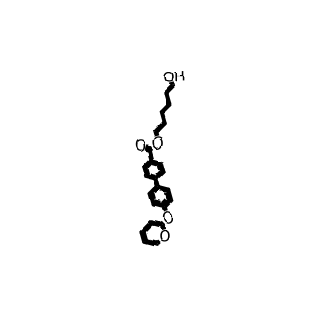 O=C(OCCCCCCO)c1ccc(-c2ccc(OC3CCCCO3)cc2)cc1